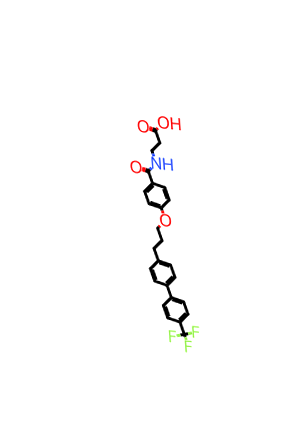 O=C(O)CCNC(=O)c1ccc(OCCCc2ccc(-c3ccc(C(F)(F)F)cc3)cc2)cc1